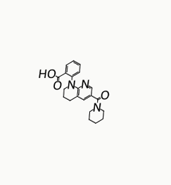 O=C(O)c1ccccc1N1CCCc2cc(C(=O)N3CCCCC3)cnc21